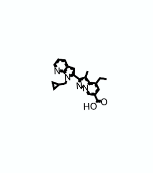 CCc1cc(C(=O)O)cn2nc(-c3cc4cccnc4n3CC3CC3)c(C)c12